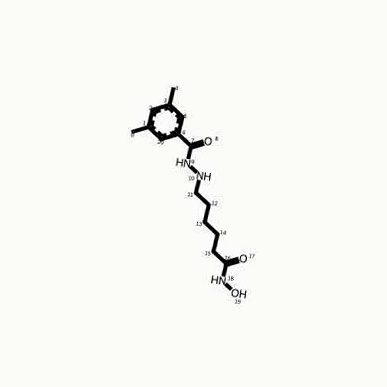 Cc1cc(C)cc(C(=O)NNCCCCCC(=O)NO)c1